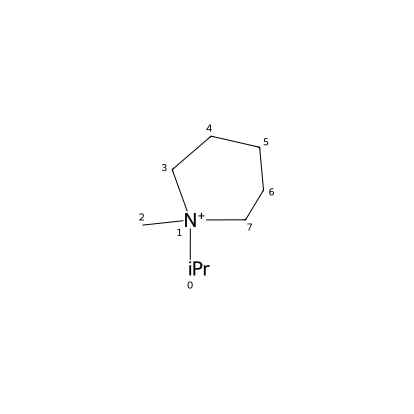 CC(C)[N+]1(C)CCCCC1